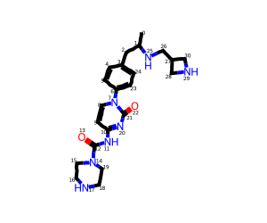 CC(Cc1ccc(-n2ccc(NC(=O)N3CCNCC3)nc2=O)cc1)NCC1CNC1